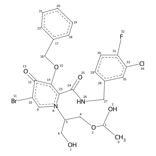 CC(O)OCC(CO)n1cc(Br)c(=O)c(OCc2ccccc2)c1C(=O)NCc1ccc(F)c(Cl)c1